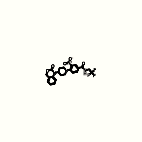 O=C(NCC(F)(F)F)c1ccc(N2CCC(N3C(=O)OCc4ccccc43)CC2)c([N+](=O)[O-])c1